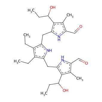 CCc1c(Cc2[nH]c(C=O)c(C)c2C(O)CC)[nH]c(Cc2[nH]c(C=O)c(C)c2C(O)CC)c1CC